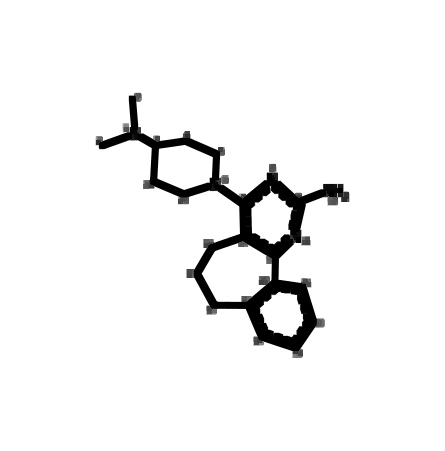 CN(C)C1CCN(c2nc(N)nc3c2CCCc2ccccc2-3)CC1